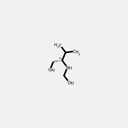 CC(C)[C@@H](CO)NCO